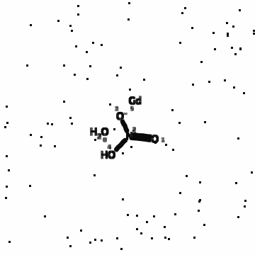 O.O=[N+]([O-])O.[Gd]